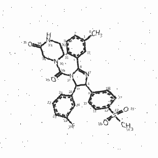 Cc1cccc(C2=NC(c3ccc(S(C)(=O)=O)cc3)C(c3cccc(F)c3)N2C(=O)N2CCNC(=O)C2)c1